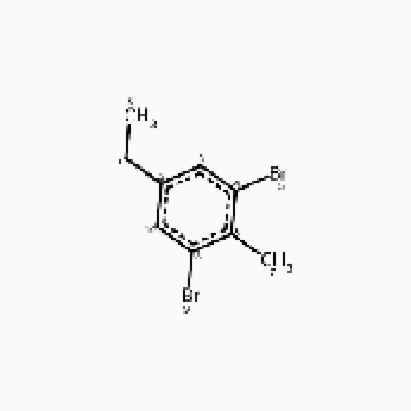 CCc1cc(Br)c(C)c(Br)c1